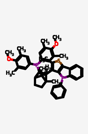 COc1c(C)cc(P(C2=C(c3c(C)sc4c5ccccc5p(-c5ccccc5)c34)C3(C)CCC2C3(C)C)c2cc(C)c(OC)c(C)c2)cc1C